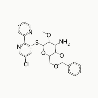 COC1C(Sc2cc(Cl)cnc2-c2ccccn2)OC2COC(c3ccccc3)OC2C1N